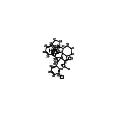 COC(=O)C1(C2(C(N)=O)CCCCC2N2CCCC2)C(c2ccccc2)=C1c1cccc(Cl)c1